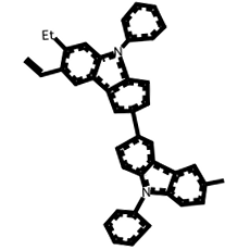 C=Cc1cc2c3cc(-c4ccc5c(c4)c4cc(C)ccc4n5-c4ccccc4)ccc3n(-c3ccccc3)c2cc1CC